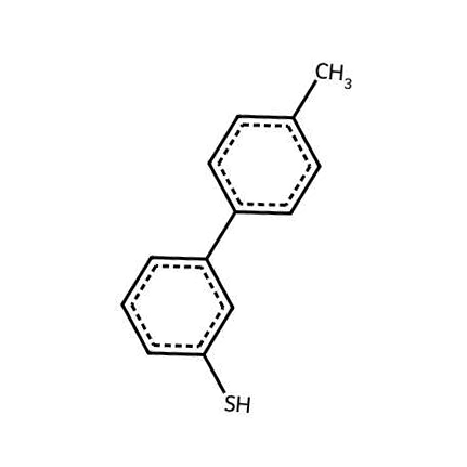 Cc1ccc(-c2cccc(S)c2)cc1